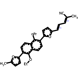 CCCc1c(-c2ccc(/C=C/C=C(/C)C#N)o2)ccc2c(OCC)c(-c3ccc(C)o3)ccc12